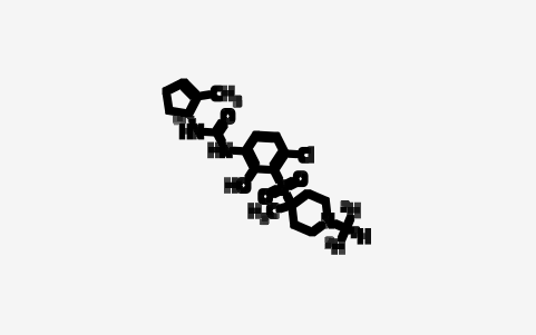 [2H]C([2H])([2H])N1CCC(C)(S(=O)(=O)c2c(Cl)ccc(NC(=O)N[C@@H]3CCC=C3C)c2O)CC1